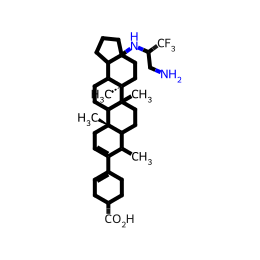 CC1C(C2=CCC(C(=O)O)CC2)=CC[C@@]2(C)C1CCC1(C)C2CCC2C3CCCC3(NC(CN)C(F)(F)F)CC[C@]21C